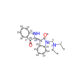 CCN(CC)CN1C(=O)/C(=C2\Nc3ccccc3C2=O)c2ccccc21